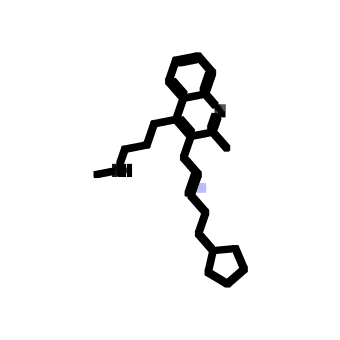 CNCCCc1c(C/C=C/CCC2CCCC2)c(C)nc2ccccc12